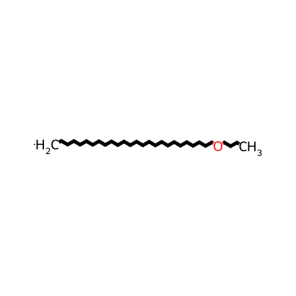 [CH2]CCCCCCCCCCCCCCCCCCCCCCCCCOCCCC